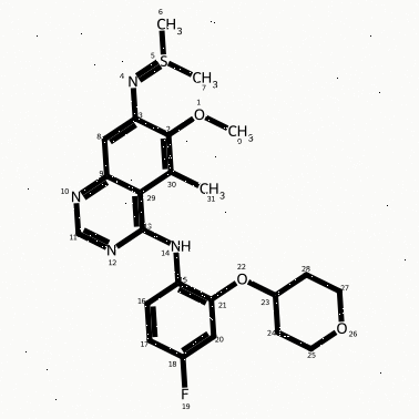 COc1c(N=S(C)C)cc2ncnc(Nc3ccc(F)cc3OC3CCOCC3)c2c1C